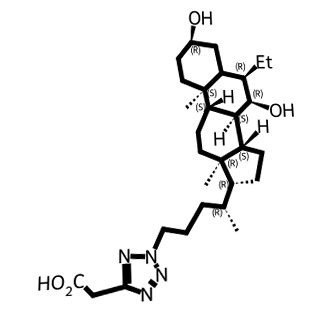 CC[C@@H]1C2C[C@H](O)CC[C@]2(C)[C@H]2CC[C@]3(C)[C@@H]([C@H](C)CCCn4nnc(CC(=O)O)n4)CC[C@H]3[C@@H]2[C@@H]1O